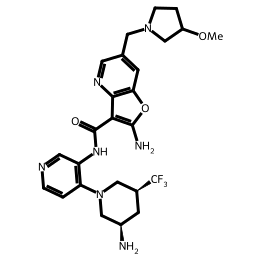 COC1CCN(Cc2cnc3c(C(=O)Nc4cnccc4N4C[C@H](N)C[C@H](C(F)(F)F)C4)c(N)oc3c2)C1